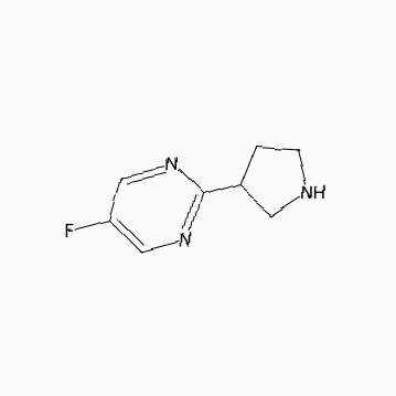 Fc1cnc(C2CCNC2)nc1